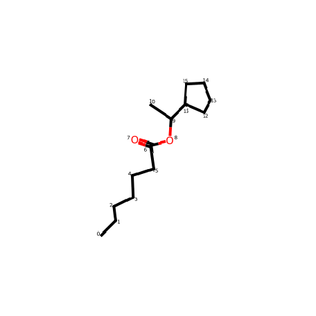 CCCCC[CH]C(=O)OC(C)C1CCCC1